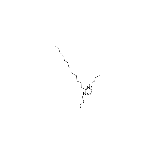 CCCCCCCCCCCCCc1n(CCCC)cc[n+]1CCCC